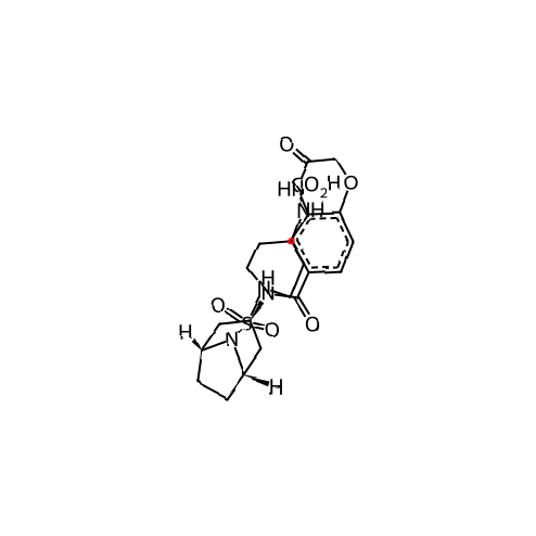 O=C(O)NC1CCN(S(=O)(=O)N2[C@@H]3CC[C@H]2C[C@H](NC(=O)c2ccc4c(c2)NC(=O)CO4)C3)CC1